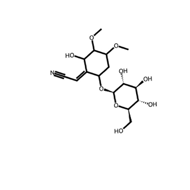 COC1CC(O[C@@H]2O[C@H](CO)[C@@H](O)[C@H](O)[C@H]2O)C(=CC#N)C(O)C1OC